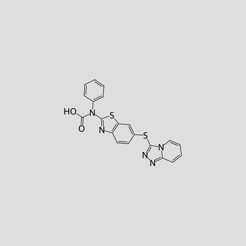 O=C(O)N(c1ccccc1)c1nc2ccc(Sc3nnc4ccccn34)cc2s1